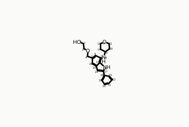 OCCOCc1cc(NC2CCOCC2)c2[nH]c(-c3ccccc3)cc2c1